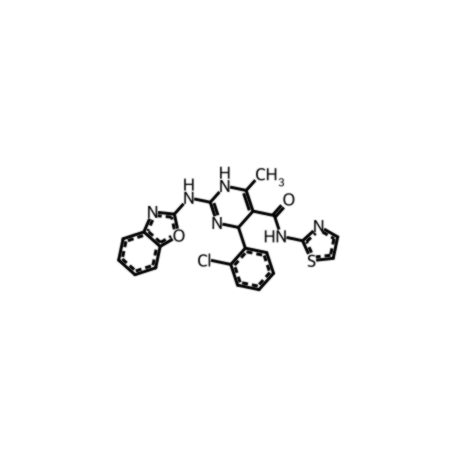 CC1=C(C(=O)Nc2nccs2)C(c2ccccc2Cl)N=C(Nc2nc3ccccc3o2)N1